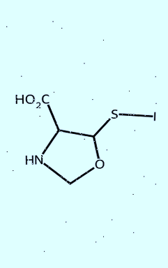 O=C(O)C1NCOC1SI